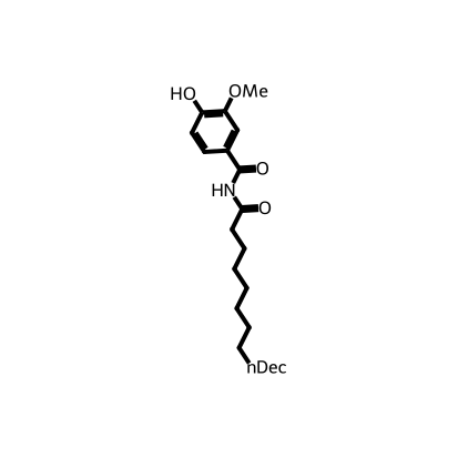 CCCCCCCCCCCCCCCCCC(=O)NC(=O)c1ccc(O)c(OC)c1